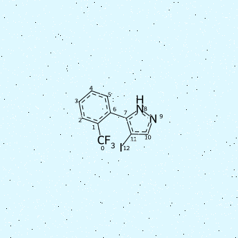 FC(F)(F)c1ccccc1-c1[nH]ncc1I